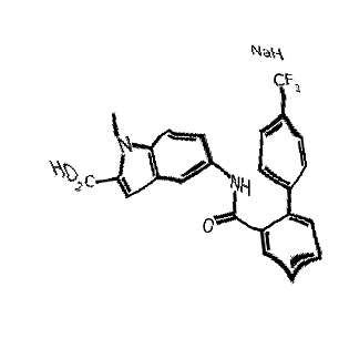 Cn1c(C(=O)O)cc2cc(NC(=O)c3ccccc3-c3ccc(C(F)(F)F)cc3)ccc21.[NaH]